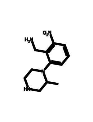 CC1CNCCN1c1cccc([N+](=O)[O-])c1CN